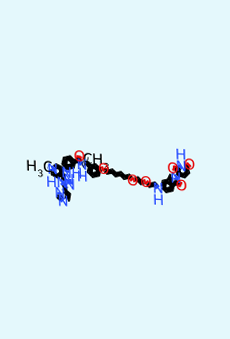 C[C@@H](NC(=O)c1cccc(NC2(c3nnc(-c4ccncn4)[nH]3)CCN(C)CC2)c1)c1cccc(OCCCCCCOCCOCCNc2ccc3c(c2)CN(C2CCC(=O)NC2=O)C3=O)c1